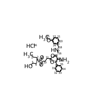 CCCN(CCO)S(=O)(=O)CCC(=O)O[C@H](CNCc1cccc(OC)c1)[C@@H](N)Cc1ccccc1.Cl